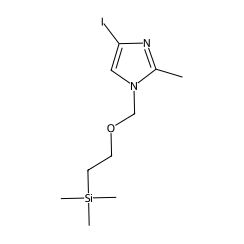 Cc1nc(I)cn1COCC[Si](C)(C)C